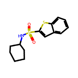 O=S(=O)(NC1CCCCC1)c1cc2ccccc2s1